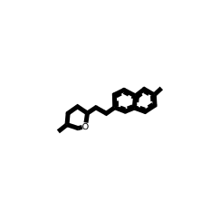 Cc1ccc2cc(CCC3CCC(C)CO3)ccc2c1